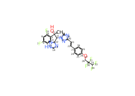 CC(O)(c1ccc(F)cc1F)C(c1nc[nH]n1)n1cnc(C=Cc2ccc(OCC(F)(F)C(F)F)cc2)n1